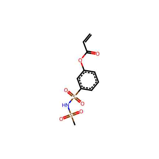 C=CC(=O)Oc1cccc(S(=O)(=O)NS(C)(=O)=O)c1